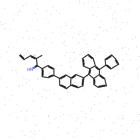 C=C/C=C(/C)C(=N)c1ccc(-c2ccc3ccc(-c4c5ccccc5c(-c5ccccc5)c5ccccc45)cc3c2)cc1